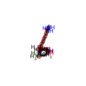 COc1cc2cc(c1Cl)N(C)C(=O)C[C@H](OC(=O)[C@H](C)OCCOCCOCCOCCOCCOCCNC(=O)CNNI)[C@@]1(C)CC(C)(O1)[C@@H]1C[C@@](O)(NC(=O)O1)[C@H](O)/C=C/C=C(\C)C2